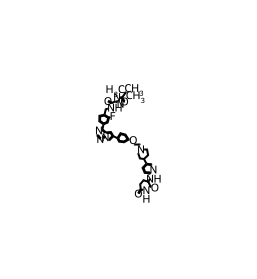 CC(C)(C)c1nc(C(=O)NCc2ccc(-c3ncnn4cc(-c5ccc(OCCN6CCC(c7ccc(NC8CCC(=O)NC8=O)nc7)CC6)cc5)cc34)cc2F)no1